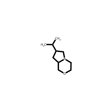 CC(C)C1CC2COCCN2C1